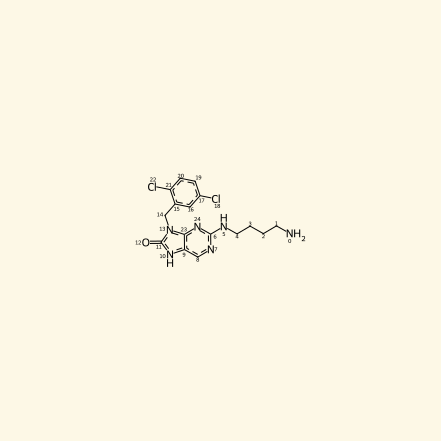 NCCCCNc1ncc2[nH]c(=O)n(Cc3cc(Cl)ccc3Cl)c2n1